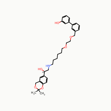 CC1(C)OCc2cc([C@@H](O)CNCCCCCCOCCOCc3cccc(-c4cccc(O)c4)c3)ccc2O1